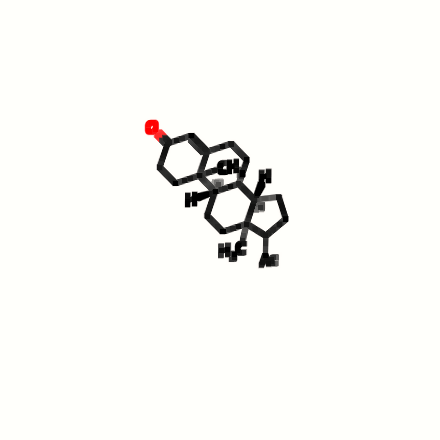 CC(=O)C1CC[C@H]2C3CCC4=CC(=O)CCC4(C)[C@H]3CCC12C